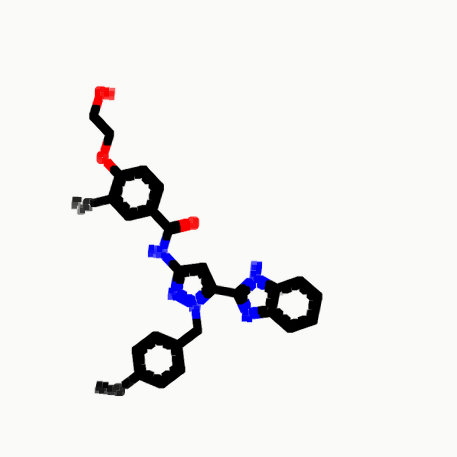 COc1ccc(Cn2nc(NC(=O)c3ccc(OCCO)c(C(F)(F)F)c3)cc2-c2nc3ccccc3[nH]2)cc1